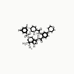 CC1(C)CN(S(=O)(=O)c2cc(F)cc(F)c2)Cc2c(NC(=O)c3ccc(N4CCOCC4)cc3NC(=O)C3CCCCN3)n[nH]c21